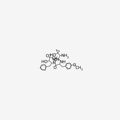 COc1ccc(CC(NC(=O)C(N)C2(O)CC2)C(=O)NC(Cc2ccccc2)C(O)C2(C)CO2)cc1